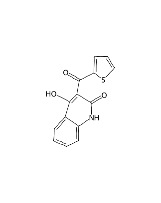 O=C(c1cccs1)c1c(O)c2ccccc2[nH]c1=O